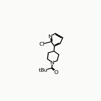 CC(C)(C)C(=O)N1CCC(c2cccnc2Cl)CC1